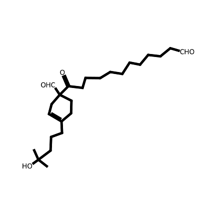 CC(C)(O)CCCC1=CCC(C=O)(C(=O)CCCCCCCCCCC=O)CC1